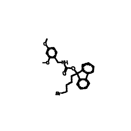 COc1ccc(CNC(=O)OC2(CCCCBr)c3ccccc3-c3ccccc32)c(OC)c1